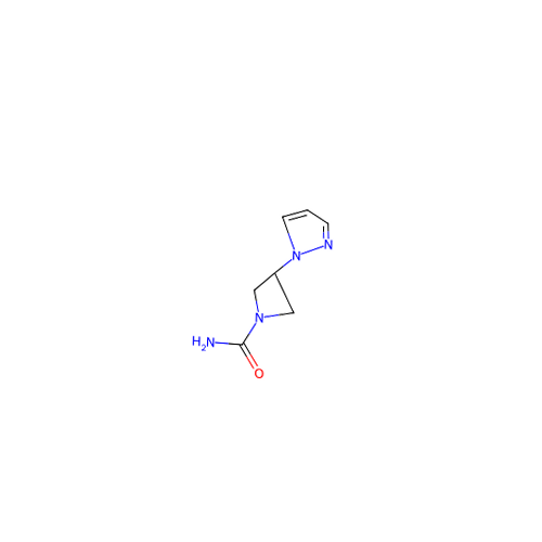 NC(=O)N1CC(n2cccn2)C1